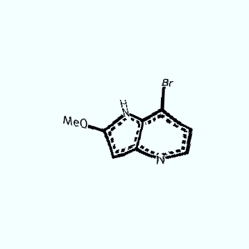 COc1cc2nccc(Br)c2[nH]1